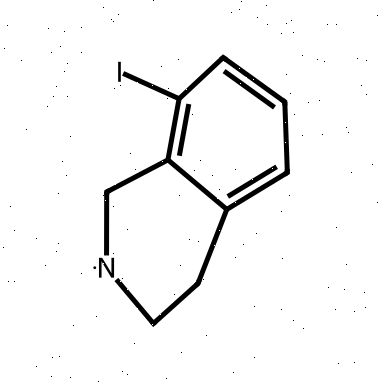 Ic1cccc2c1C[N]CC2